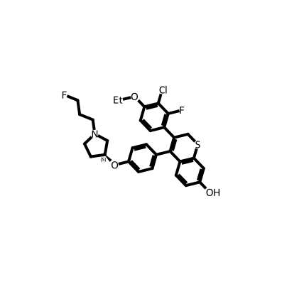 CCOc1ccc(C2=C(c3ccc(O[C@H]4CCN(CCCF)C4)cc3)c3ccc(O)cc3SC2)c(F)c1Cl